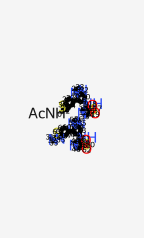 CC(=O)Nc1cc2cc(-c3cc(Nc4cnccc4S(C)(=O)=O)cc4nccnc34)ccc2s1.CN(C)c1nc2cc(-c3cc(Nc4cnccc4S(C)(=O)=O)cc4nccnc34)ccc2s1